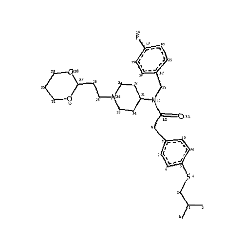 CC(C)CSc1ccc(CC(=O)N(Cc2ccc(F)cc2)C2CCN(CCC3OCCCO3)CC2)cc1